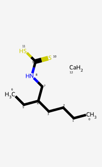 CCCCC(CC)CNC(=S)S.[CaH2]